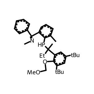 CCC(C)(Pc1c(C)cccc1/C(=N/C)c1ccccc1)c1cc(C(C)(C)C)cc(C(C)(C)C)c1OCOC